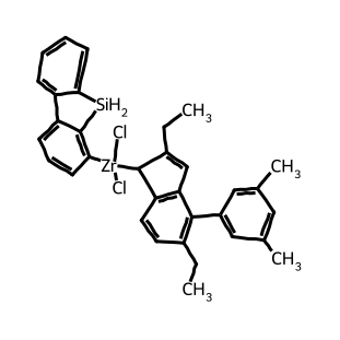 CCC1=Cc2c(ccc(CC)c2-c2cc(C)cc(C)c2)[CH]1[Zr]([Cl])([Cl])[c]1cccc2c1[SiH2]c1ccccc1-2